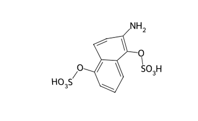 Nc1ccc2c(OS(=O)(=O)O)cccc2c1OS(=O)(=O)O